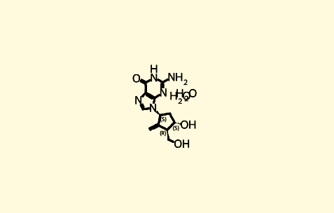 C=C1[C@H](CO)[C@@H](O)C[C@@H]1n1cnc2c(=O)[nH]c(N)nc21.O.O